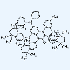 CC(C)(C)c1ccc(N2c3cc(N(c4ccccc4)c4ccccc4)cc4c3B(c3ccc5c(c3N4c3ccc4c(c3)C(C)(C)CCC4(C)C)C(C)(C)CCC5(C)C)c3oc4cc5c(cc4c32)C(C)(C)CCC5(C)C)c(-c2ccccc2)c1